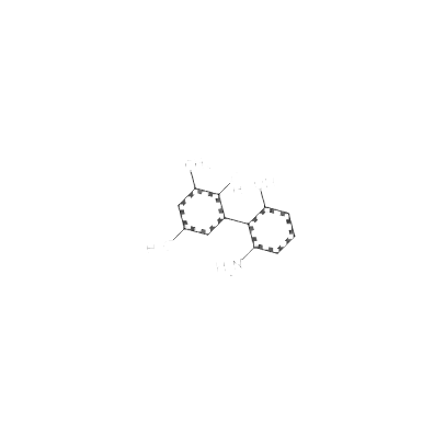 Cc1cc(C)c(C)c(-c2c(N)cccc2O)c1